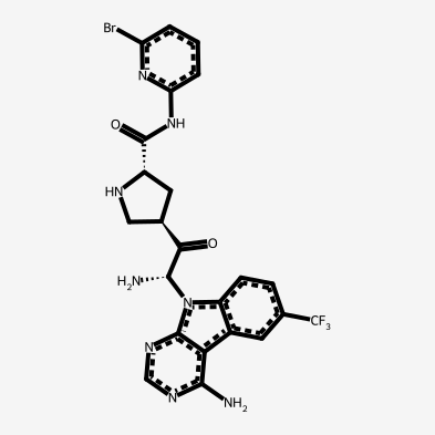 Nc1ncnc2c1c1cc(C(F)(F)F)ccc1n2[C@H](N)C(=O)[C@H]1CN[C@H](C(=O)Nc2cccc(Br)n2)C1